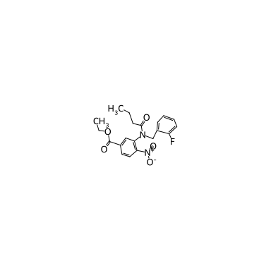 CCCC(=O)N(Cc1ccccc1F)c1cc(C(=O)OCC)ccc1[N+](=O)[O-]